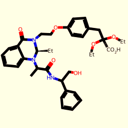 CCOC(Cc1ccc(OCCN2C(=O)c3ccccc3N(C(C)C(=O)NC(CO)c3ccccc3)[C@@H]2CC)cc1)(OCC)C(=O)O